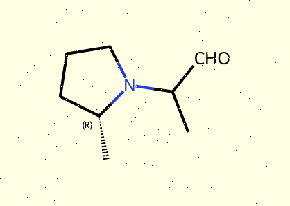 CC(C=O)N1CCC[C@H]1C